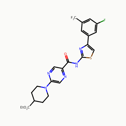 CCOC(=O)C1CCN(c2cnc(C(=O)Nc3nc(-c4cc(F)cc(C(F)(F)F)c4)cs3)cn2)CC1